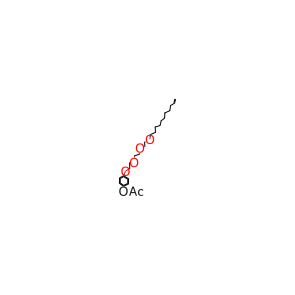 C=CCCCCCCCCCOCCOCCOCCOc1ccc(OC(C)=O)cc1